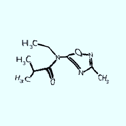 CCN(C(=O)C(C)C)c1nc(C)no1